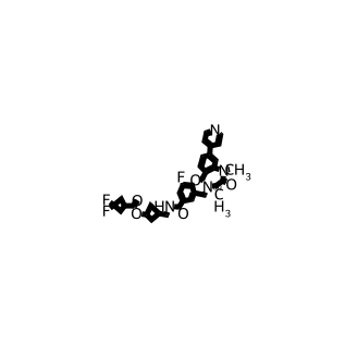 C[C@@H]1C(=O)N(C)c2cc(-c3ccncc3)ccc2C(=O)N1Cc1cc(F)cc(C(=O)NCC2CC(OC(=O)C3CC(F)(F)C3)C2)c1